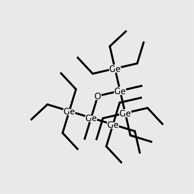 C[CH2][Ge]([CH2]C)([CH2]C)[Ge]([CH3])([O][Ge]([CH3])([Ge]([CH2]C)([CH2]C)[CH2]C)[Ge]([CH2]C)([CH2]C)[CH2]C)[Ge]([CH2]C)([CH2]C)[CH2]C